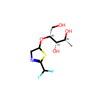 C[C@@H](O)[C@H](O)[C@@H](CO)OC1CN=C(C(F)F)S1